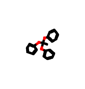 [CH3][Ti]([O]c1ccccc1)([O]c1ccccc1)[O]c1ccccc1